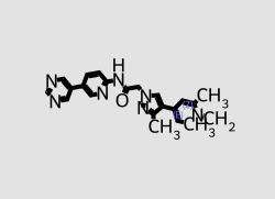 C=N/C(C)=C\C(=C/C)c1cn(CC(=O)Nc2ccc(-c3cncnc3)cn2)nc1C